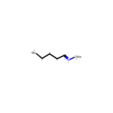 CO/N=C/CCCC(C)(C)C